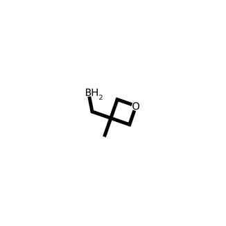 BCC1(C)COC1